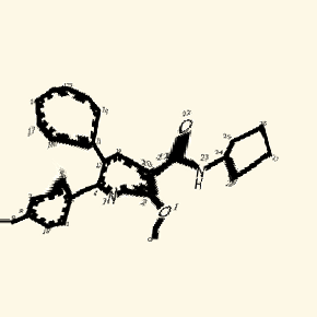 COc1nc(-c2ccc(Cl)cc2)c(-c2ccccc2)cc1C(=O)NC1CCCC1